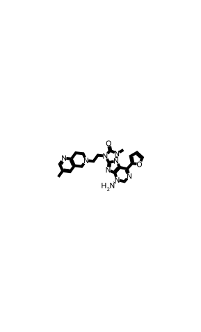 Cc1cnc2c(c1)CN(CCn1c(=O)n(C)n3c4c(nc13)N(N)CN=C4c1ccco1)CC2